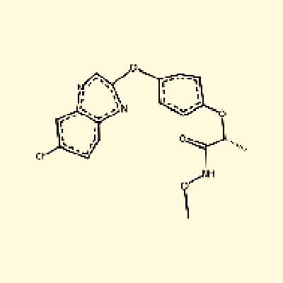 CONC(=O)[C@@H](C)Oc1ccc(Oc2cnc3cc(Cl)ccc3n2)cc1